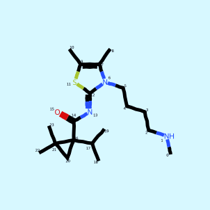 CNCCCCn1c(C)c(C)s/c1=N\C(=O)C1(C(C)C)CC1(C)C